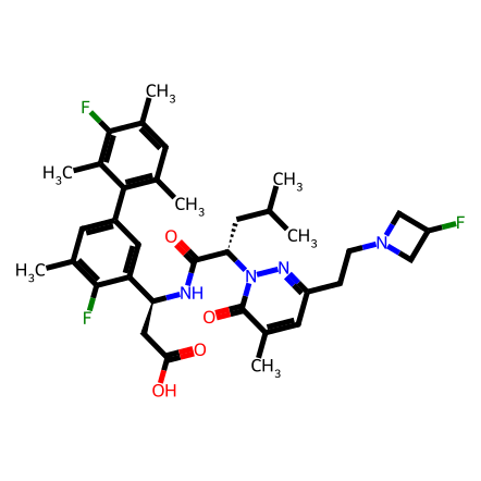 Cc1cc(-c2c(C)cc(C)c(F)c2C)cc([C@H](CC(=O)O)NC(=O)[C@H](CC(C)C)n2nc(CCN3CC(F)C3)cc(C)c2=O)c1F